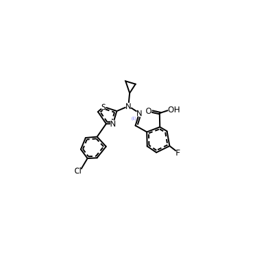 O=C(O)c1cc(F)ccc1/C=N/N(c1nc(-c2ccc(Cl)cc2)cs1)C1CC1